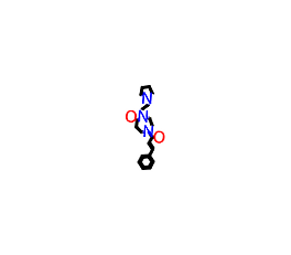 O=C(C=Cc1ccccc1)N1CCC(=O)N(CCN2CCCC2)CC1